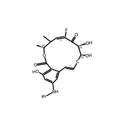 CC(C)Nc1cc(O)c2c(c1)/C=C/C[C@H](O)[C@H](O)C(=O)/C(F)=C\C(C)[C@H](C)OC2=O